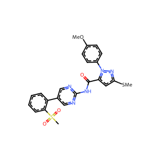 COc1ccc(-n2nc(SC)cc2C(=O)Nc2ncc(-c3ccccc3S(C)(=O)=O)cn2)cc1